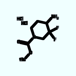 CC(C)(C)OC(=O)N1CCC(N)C(F)(F)C1.Cl.Cl